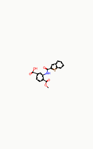 COC(=O)c1ccc(C(=O)O)cc1NC(=O)c1cc2ccccc2s1